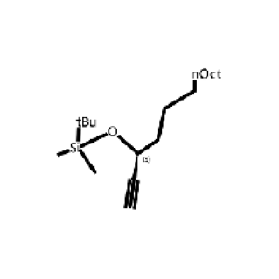 C#C[C@H](CCCCCCCCCCC)O[Si](C)(C)C(C)(C)C